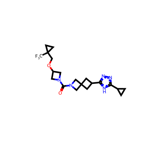 O=C(N1CC(OCC2(C(F)(F)F)CC2)C1)N1CC2(CC(c3nnc(C4CC4)[nH]3)C2)C1